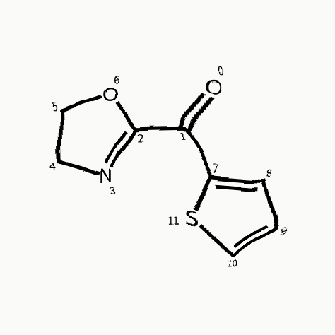 O=C(C1=NCCO1)c1cccs1